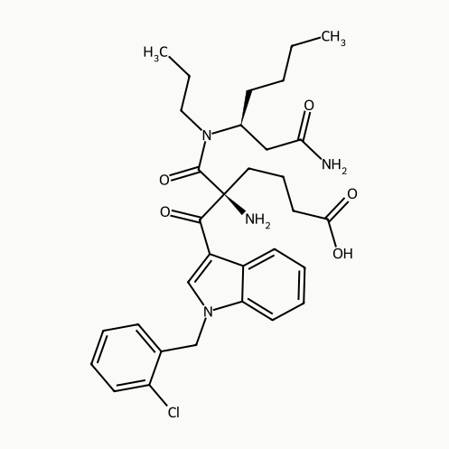 CCCC[C@@H](CC(N)=O)N(CCC)C(=O)[C@](N)(CCCC(=O)O)C(=O)c1cn(Cc2ccccc2Cl)c2ccccc12